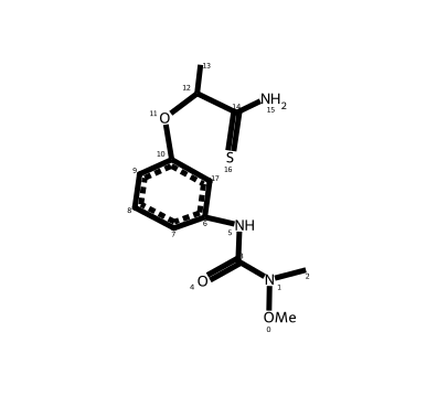 CON(C)C(=O)Nc1cccc(OC(C)C(N)=S)c1